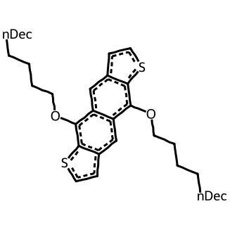 CCCCCCCCCCCCCCOc1c2cc3ccsc3c(OCCCCCCCCCCCCCC)c2cc2ccsc12